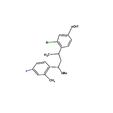 CCC[CH]C(CC(C)c1ccc(CCCCCCCC)cc1Br)c1ccc(I)cc1C